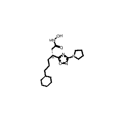 O=C(C[C@@H](CCCC1CCCCC1)c1nc(N2CCCC2)no1)NO